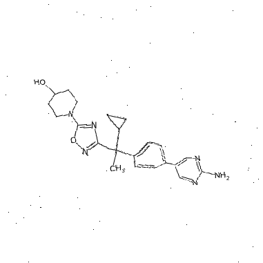 CC(c1ccc(-c2cnc(N)nc2)cc1)(c1noc(N2CCC(O)CC2)n1)C1CC1